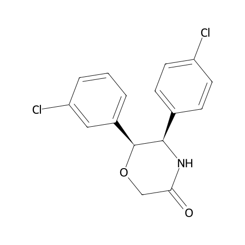 O=C1CO[C@@H](c2cccc(Cl)c2)[C@@H](c2ccc(Cl)cc2)N1